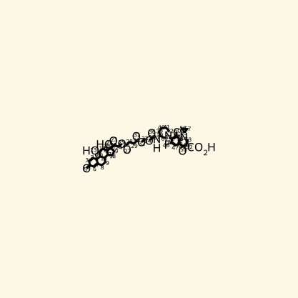 C[C@]12C=CC(=O)C=C1CCC1C2[C@@H](O)C[C@@]2(C)C1CC[C@]2(O)C(=O)COC(=O)CCC(=O)OCOC(=O)NC1CCCCN(c2c(F)cc3c(=O)c(C(=O)O)cn(C4CC4)c3c2Cl)C1